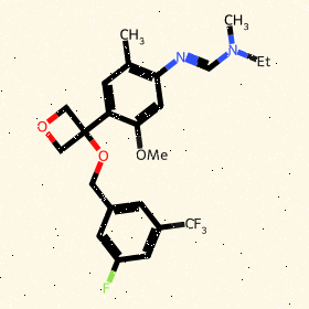 CCN(C)C=Nc1cc(OC)c(C2(OCc3cc(F)cc(C(F)(F)F)c3)COC2)cc1C